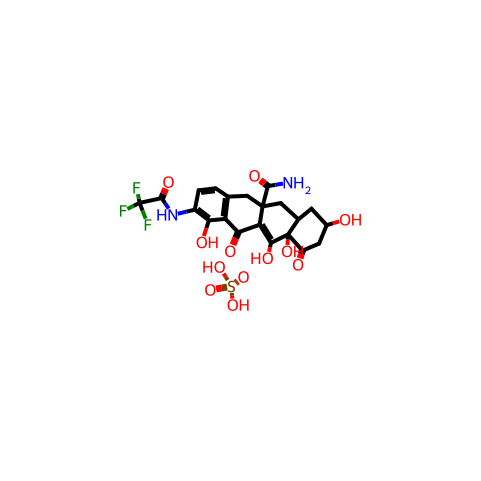 NC(=O)C12Cc3ccc(NC(=O)C(F)(F)F)c(O)c3C(=O)C1=C(O)C1(O)C(=O)CC(O)CC1C2.O=S(=O)(O)O